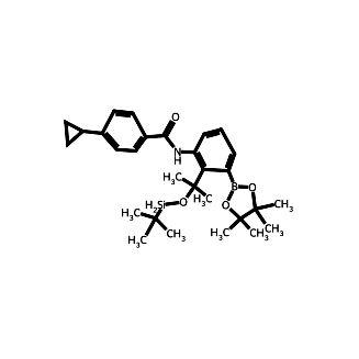 CC(C)(C)[SiH2]OC(C)(C)c1c(NC(=O)c2ccc(C3CC3)cc2)cccc1B1OC(C)(C)C(C)(C)O1